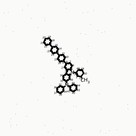 CC1C=C(n2c3ccc(-c4ccc(-c5ccc(-c6ccccc6)cc5)cc4)cc3c3ccc(N(c4ccccc4)c4ccccc4)cc32)C=CC1